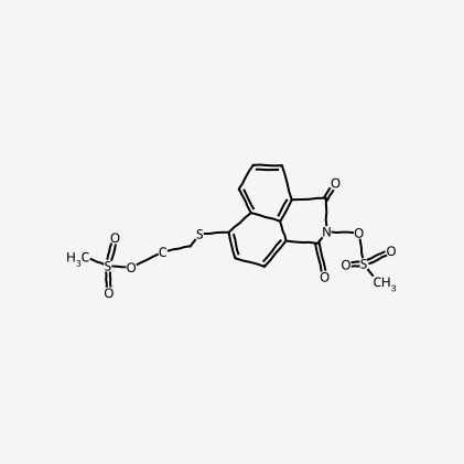 CS(=O)(=O)OCCSc1ccc2c3c(cccc13)C(=O)N(OS(C)(=O)=O)C2=O